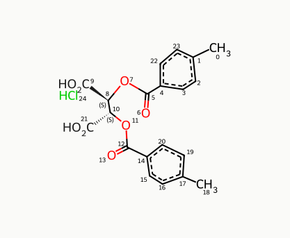 Cc1ccc(C(=O)O[C@H](C(=O)O)[C@H](OC(=O)c2ccc(C)cc2)C(=O)O)cc1.Cl